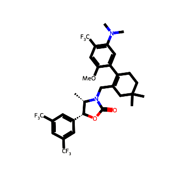 COc1cc(C(F)(F)F)c(N(C)C)cc1C1=C(CN2C(=O)O[C@H](c3cc(C(F)(F)F)cc(C(F)(F)F)c3)[C@@H]2C)CC(C)(C)CC1